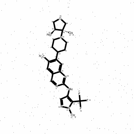 Cc1cc2cnc(Nc3cnn(C)c3C(F)(F)F)nc2cc1C1CCN([C@]2(C)COC[C@@H]2O)CC1